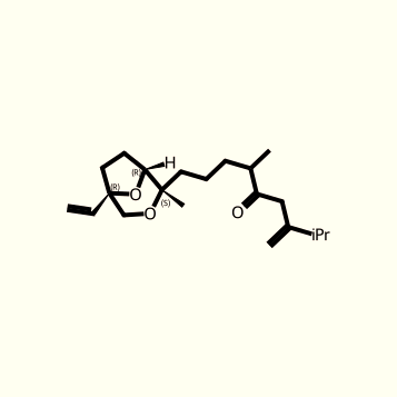 C=C[C@@]12CC[C@@H](O1)[C@](C)(CCCC(C)C(=O)CC(=C)C(C)C)OC2